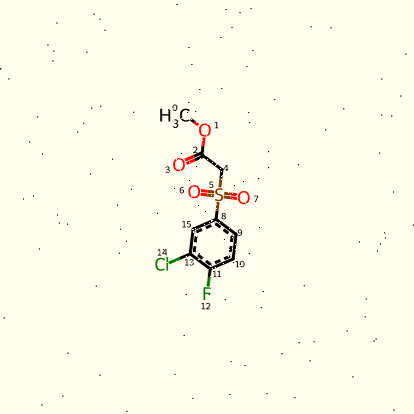 COC(=O)CS(=O)(=O)c1ccc(F)c(Cl)c1